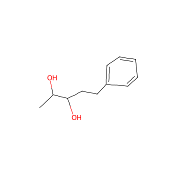 CC(O)C(O)CCc1ccccc1